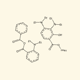 CCCCCCOC(=O)c1ccc(N(CC)CC)c(N(CC)CC)c1O.CCN(CC)c1ccccc1C(=O)OC(=O)c1ccccc1